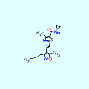 CCCCc1noc(C)c1/C=C/c1nc(C)c(C(=O)NC2CC2)s1